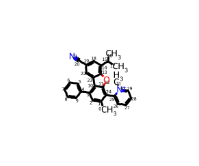 Cc1cc(-c2ccccc2)c2c(oc3c(C(C)C)cc(C#N)cc32)c1-c1cccc[n+]1C